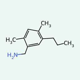 CCCc1cc(CN)c(C)cc1C